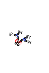 CC(C)c1ccc2c(c1)c1cc(C(C)C)ccc1n2-c1ccc2cc3c(cc2c1)oc1c(-c2ccccc2)c(-c2ccccc2)c2oc4cc5cc(-n6c7ccc(C(C)C)cc7c7cc(C(C)C)ccc76)ccc5cc4c2c13